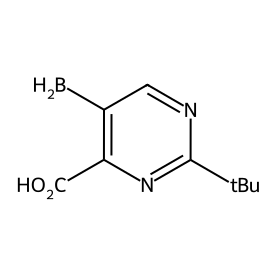 Bc1cnc(C(C)(C)C)nc1C(=O)O